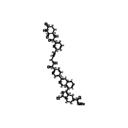 CCc1nc(-c2cccc3cc(-c4ccc(C(=O)NCC#Cc5cccc(C(=O)NC6CCC(=O)NC6=O)n5)nc4)ncc23)c2n1CCN(C(=O)NC)C2